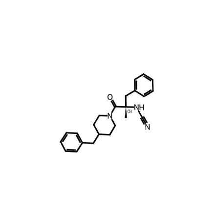 C[C@@](Cc1ccccc1)(NC#N)C(=O)N1CCC(Cc2ccccc2)CC1